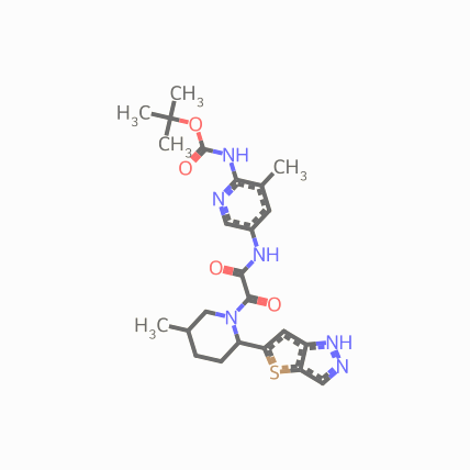 Cc1cc(NC(=O)C(=O)N2CC(C)CCC2c2cc3[nH]ncc3s2)cnc1NC(=O)OC(C)(C)C